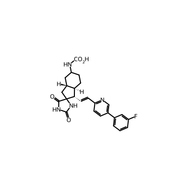 O=C(O)NC1CC[C@@H]2[C@@H](C1)CC1(NC(=O)NC1=O)[C@H]2/C=C/c1ccc(-c2cccc(F)c2)cn1